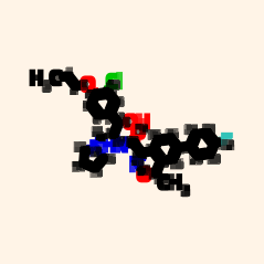 CCCOc1ccc([C@@H](O)[C@@H](CN2CCCC2)NC(=O)C2=NOC(C)c3cc(-c4ccc(F)cc4)ccc32)cc1Cl